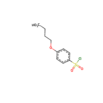 O=C(O)CCCOc1ccc(S(=O)(=O)Cl)cc1